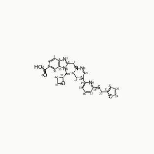 O=C(O)c1ccc2nc(CN3CCN(c4cccc(SCc5ccco5)n4)C=N3)n(C[C@@H]3CCO3)c2c1